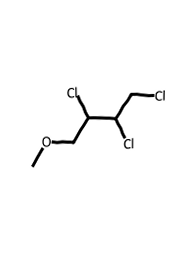 COCC(Cl)C(Cl)CCl